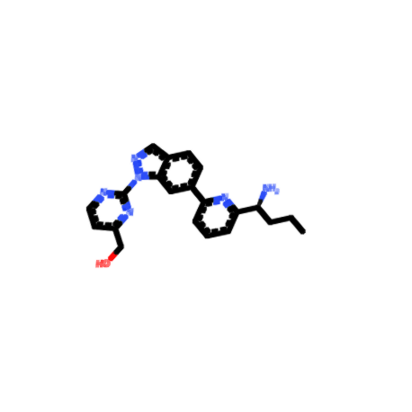 CCC[C@H](N)c1cccc(-c2ccc3cnn(-c4nccc(CO)n4)c3c2)n1